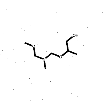 COCN(C)COC(C)CO